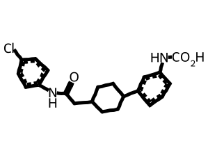 O=C(O)Nc1cccc(C2CCC(CC(=O)Nc3ccc(Cl)cc3)CC2)c1